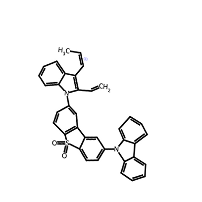 C=Cc1c(/C=C\C)c2ccccc2n1-c1ccc2c(c1)-c1cc(-n3c4ccccc4c4ccccc43)ccc1S2(=O)=O